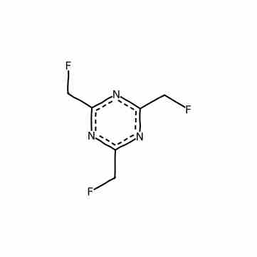 FCc1nc(CF)nc(CF)n1